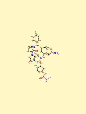 CN(C)C(=O)Oc1ccc(C[C@H]2C(=O)N(Cc3cccc4sc(N)nc34)C[C@H]3N2C(=O)CN3N(CC#N)C(=O)NCc2ccc(F)cc2)cc1